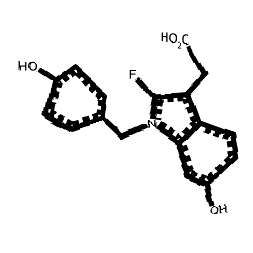 O=C(O)Cc1c(F)n(Cc2ccc(O)cc2)c2cc(O)ccc12